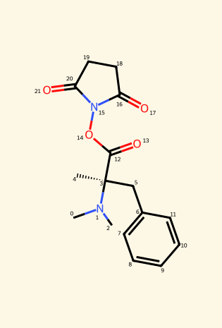 CN(C)[C@](C)(Cc1ccccc1)C(=O)ON1C(=O)CCC1=O